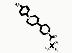 CC(C)(C)OC(=O)N1CCC(C2CCN(c3ccc(N)cc3)CC2)CC1